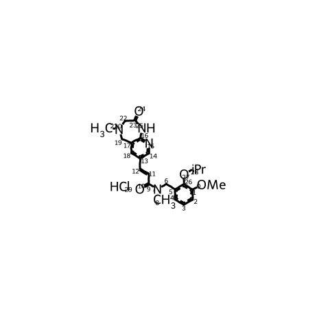 COc1cccc(CN(C)C(=O)/C=C/c2cnc3c(c2)CN(C)CC(=O)N3)c1OC(C)C.Cl